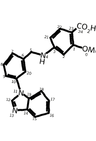 COc1cc(NCc2cccc(-n3cnc4ccccc43)c2)ccc1C(=O)O